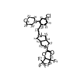 O=C(OC(C(F)(F)F)C(F)(F)F)N1CC2CN(Cc3ccc(Cl)cc3N3CCOCC3)CC2C1